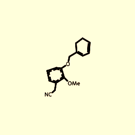 COc1c(CC#N)cccc1OCC1=CC=CCC1